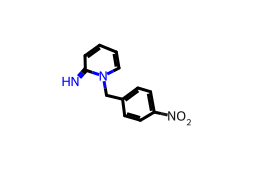 N=c1ccccn1Cc1ccc([N+](=O)[O-])cc1